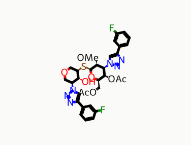 CO[C@@H]1[C@@H](n2cc(-c3cccc(F)c3)nn2)[C@@H](OC(C)=O)[C@@H](COC(C)=O)O[C@H]1S[C@@H]1COC[C@H](n2cc(-c3cccc(F)c3)nn2)[C@H]1O